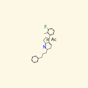 CC(=O)[C@@]1(c2cccc(F)c2C)CCC2=NC(CCCc3ccccc3)CC=C21